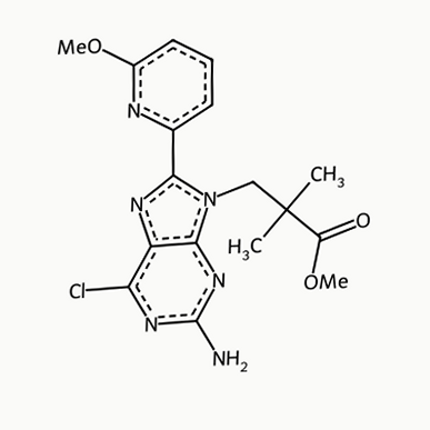 COC(=O)C(C)(C)Cn1c(-c2cccc(OC)n2)nc2c(Cl)nc(N)nc21